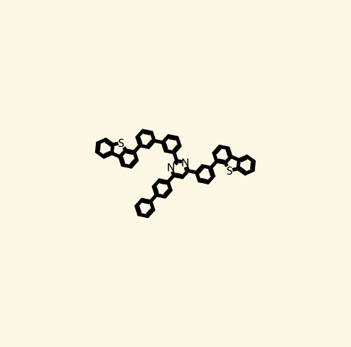 c1ccc(-c2ccc(-c3cc(-c4cccc(-c5cccc6c5sc5ccccc56)c4)nc(-c4cccc(-c5cccc(-c6cccc7c6sc6ccccc67)c5)c4)n3)cc2)cc1